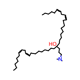 CCCCC/C=C\C/C=C\CCCCCCCCC(O)(CCCCCCCC/C=C\C/C=C\CCCCCC)CCCN(C)C